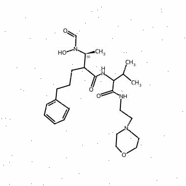 CC(C)C(NC(=O)C(CCCc1ccccc1)[C@H](C)N(O)C=O)C(=O)NCCN1CCOCC1